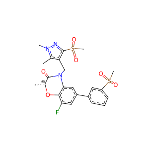 Cc1c(CN2C(=O)[C@@H](C)Oc3c(F)cc(-c4cccc(S(C)(=O)=O)c4)cc32)c(S(C)(=O)=O)nn1C